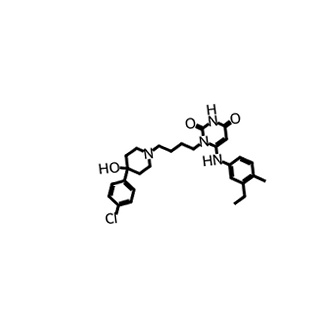 CCc1cc(Nc2cc(=O)[nH]c(=O)n2CCCCN2CCC(O)(c3ccc(Cl)cc3)CC2)ccc1C